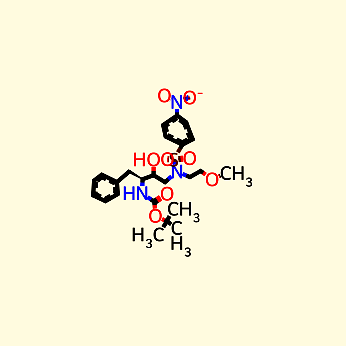 COCCN(CC(O)[C@H](Cc1ccccc1)NC(=O)OC(C)(C)C)S(=O)(=O)c1ccc([N+](=O)[O-])cc1